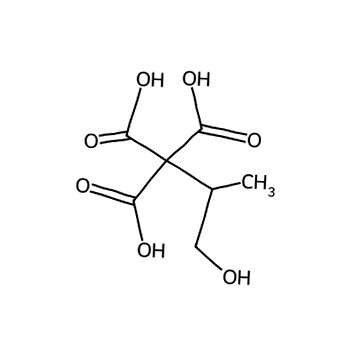 CC(CO)C(C(=O)O)(C(=O)O)C(=O)O